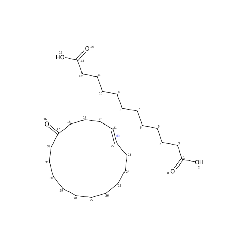 O=C(O)CCCCCCCCCCC(=O)O.O=C1CCC/C=C/CCCCCCCCCC1